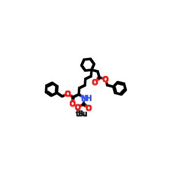 CC(C)(C)OC(=O)NC(CCCCC1(CC(=O)OCc2ccccc2)CCCCC1)C(=O)OCc1ccccc1